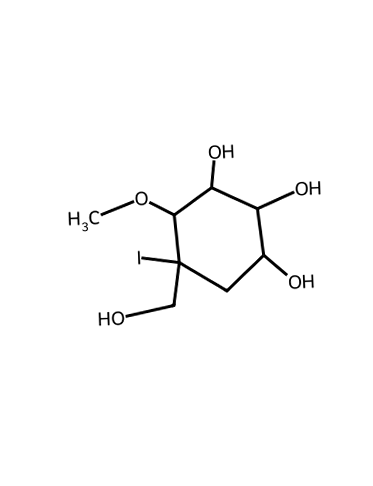 COC1C(O)C(O)C(O)CC1(I)CO